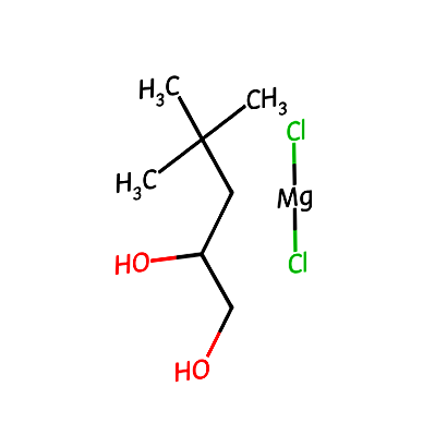 CC(C)(C)CC(O)CO.[Cl][Mg][Cl]